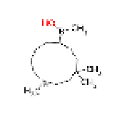 CB(O)C1CCCC[C@@H](C)CCC(C)(C)CC1